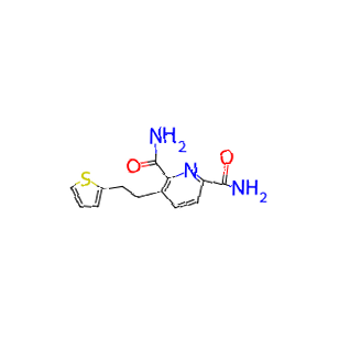 NC(=O)c1ccc(CCc2cccs2)c(C(N)=O)n1